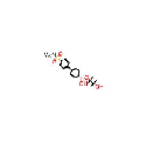 CNS(=O)(=O)c1ccc(-c2ccc(B(O)OC(C)(C)C(C)(C)O)cc2)cc1